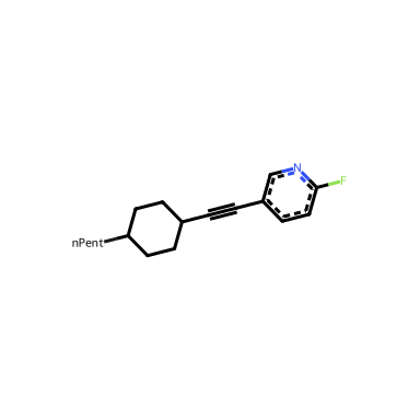 CCCCCC1CCC(C#Cc2ccc(F)nc2)CC1